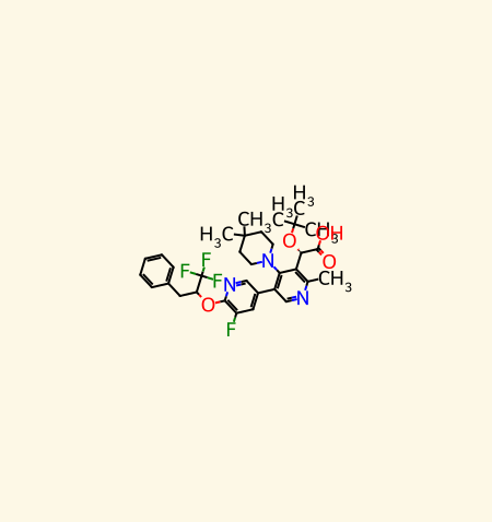 Cc1ncc(-c2cnc(OC(Cc3ccccc3)C(F)(F)F)c(F)c2)c(N2CCC(C)(C)CC2)c1[C@H](OC(C)(C)C)C(=O)O